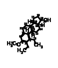 CCc1c(OC)cc2c(c1CC)[C@H]1CC[C@H]3[C@@H](CC[C@@H]3O)[C@@H]1CC2